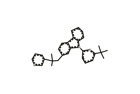 CC(C)(C)c1cccc(-n2c3ccccc3c3ccc(CC(C)(C)c4cccnc4)cc32)n1